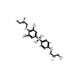 CC[C@@H](C)COc1c(Cl)cc(S(=O)(=O)c2ccc(OC[C@@H](C)CCl)cc2)cc1Cl